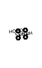 Oc1ccccc1Sc1ccccc1O.Oc1ccccc1Sc1ccccc1O